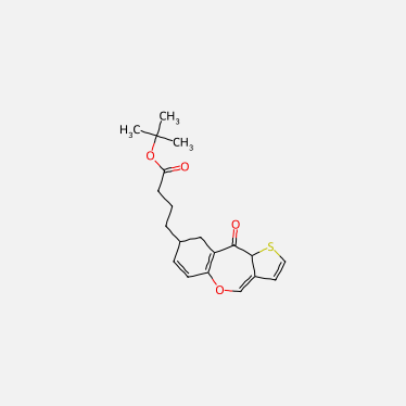 CC(C)(C)OC(=O)CCCC1C=CC2=C(C1)C(=O)C1SC=CC1=CO2